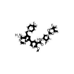 COc1ncc(-c2cc(CN3CCC(F)(F)CC3)c3c(N)ncnn23)cc1C(=O)N[C@@H]1CN(C(=O)OC(C)C(F)(F)F)C[C@@H]1F